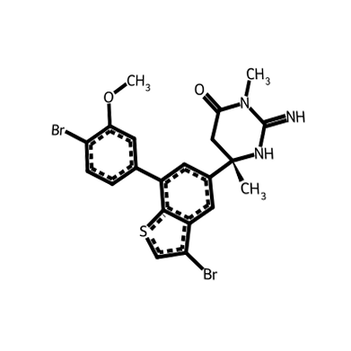 COc1cc(-c2cc([C@]3(C)CC(=O)N(C)C(=N)N3)cc3c(Br)csc23)ccc1Br